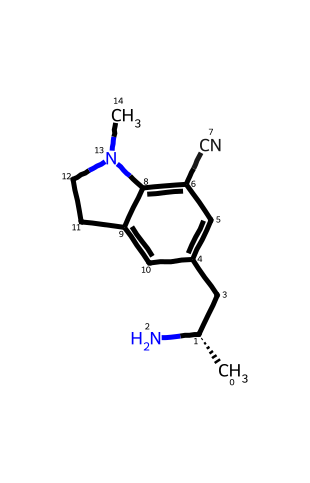 C[C@H](N)Cc1cc(C#N)c2c(c1)CCN2C